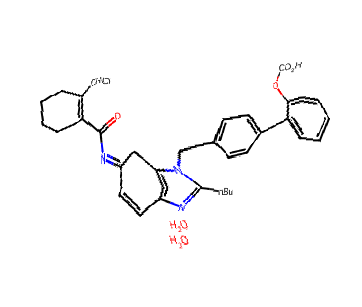 CCCCc1nc2c(n1Cc1ccc(-c3ccccc3OC(=O)O)cc1)CC(=NC(=O)C1=C(C=O)CCCC1)C=C2.O.O